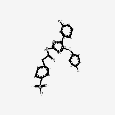 CCS(=O)(=O)c1ccc(CC(=O)Nc2nc(-c3cccc(Cl)c3)c(Oc3ccc(Cl)cc3)s2)cc1